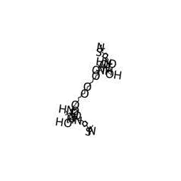 C=N/C(C)=C(\SC)c1ccc(CNC(=O)[C@@H]2C[C@@H](O)CN2C(=O)[C@@H](NC(=O)COCCCCCOCCOCCCCCOCC(=O)N[C@H](C(=O)N2C[C@H](O)C[C@H]2C(=O)NCc2ccc(-c3scnc3C)cc2)C(C)(C)C)C(C)(C)C)cc1